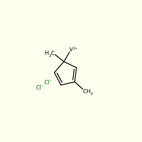 CC1=C[C](C)([V+2])C=C1.[Cl-].[Cl-]